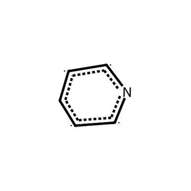 [c]1[c]n[c][c]c1